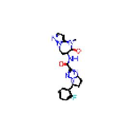 CN1C(=O)[C@@H](NC(=O)c2nc3n(n2)C(c2ccccc2F)CC3)CCn2nccc21